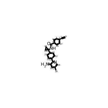 C#Cc1ccc(C(=O)NC2(c3ccc(-c4ncc(C)cc4N)cc3)CC2)cc1